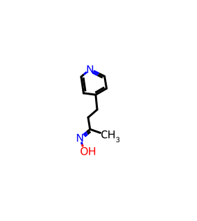 C/C(CCc1ccncc1)=N\O